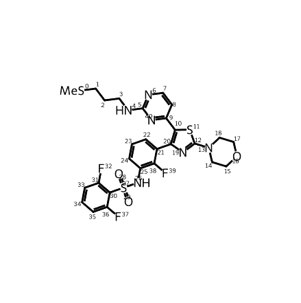 CSCCCNc1nccc(-c2sc(N3CCOCC3)nc2-c2cccc(NS(=O)(=O)c3c(F)cccc3F)c2F)n1